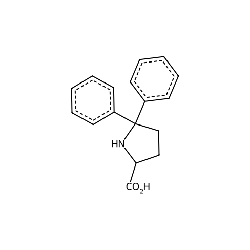 O=C(O)C1CCC(c2ccccc2)(c2ccccc2)N1